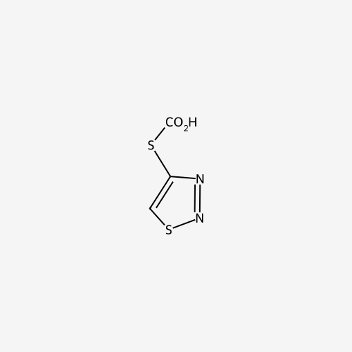 O=C(O)Sc1csnn1